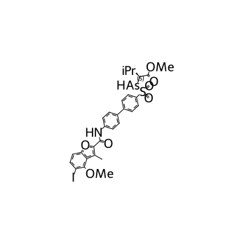 COC(=O)[C@@H]([AsH]S(=O)(=O)c1ccc(-c2ccc(NC(=O)c3oc4ccc(I)c(OC)c4c3C)cc2)cc1)C(C)C